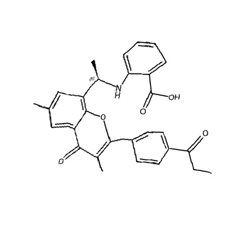 CCC(=O)c1ccc(-c2oc3c([C@@H](C)Nc4ccccc4C(=O)O)cc(C)cc3c(=O)c2C)cc1